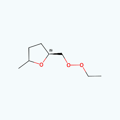 CCOOC[C@@H]1CCC(C)O1